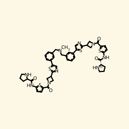 CN(Cc1cccc(-c2cnc(C3CN(C(=O)c4ccc(NC(=O)C5CCCN5)s4)C3)s2)c1)Cc1cccc(-c2cnc(C3CN(C(=O)c4ccc(NC(=O)[C@@H]5CCCN5)s4)C3)s2)c1